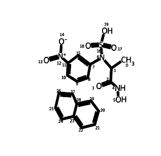 CC(C(=O)NO)N(c1cccc([N+](=O)[O-])c1)S(=O)(=O)O.c1ccc2ccccc2c1